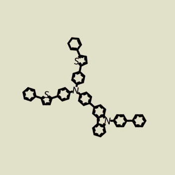 C1=CC(c2ccc(-c3ccc(N(c4ccc(-c5ccc6c(c5)c5ccccc5n6-c5ccc(-c6ccccc6)cc5)cc4)c4ccc(-c5ccc(-c6ccccc6)s5)cc4)cc3)s2)=CCC1